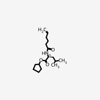 C=CCCCC(=O)N[C@@H](CC(C)C)C(=O)OC1CCCC1